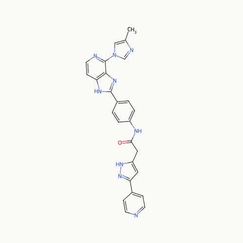 Cc1cn(-c2nccc3[nH]c(-c4ccc(NC(=O)Cc5cc(-c6ccncc6)n[nH]5)cc4)nc23)cn1